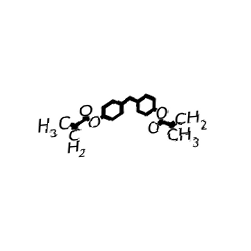 C=C(C)C(=O)OC1CCC(CC2CCC(OC(=O)C(=C)C)CC2)CC1